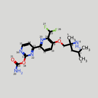 CC(C)CC(C)(N)COc1ccc(-c2ccnc(OC(N)=O)n2)nc1C(F)F